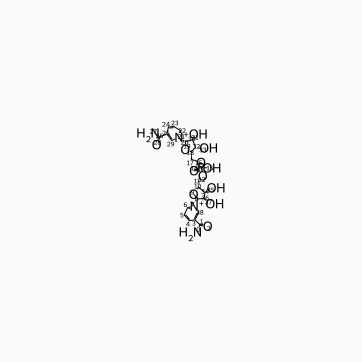 NC(=O)c1ccc[n+]([C@H]2O[C@H](COP(=O)(O)OC[C@H]3O[C@H]([n+]4cccc(C(N)=O)c4)[C@H](O)[C@@H]3O)[C@@H](O)[C@H]2O)c1